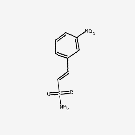 NS(=O)(=O)C=Cc1cccc([N+](=O)[O-])c1